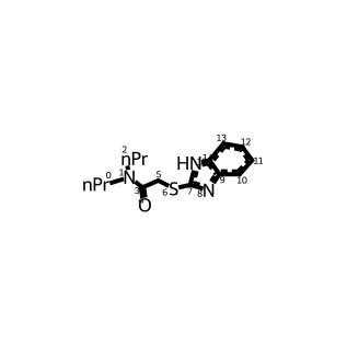 CCCN(CCC)C(=O)CSc1nc2ccccc2[nH]1